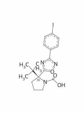 CC(C)(C)[C@]1(c2nc(-c3ccc(I)cc3)no2)CCCN1C(=O)O